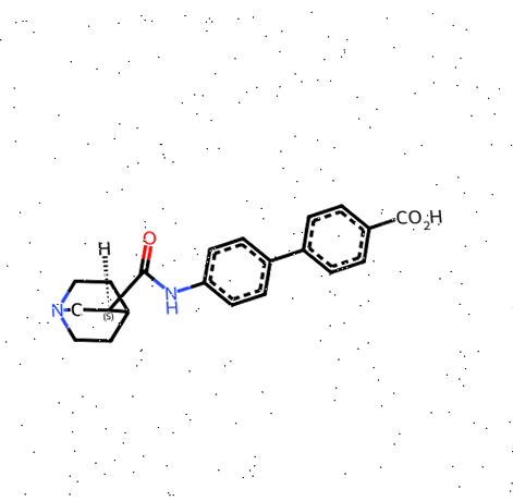 O=C(O)c1ccc(-c2ccc(NC(=O)[C@@H]3CN4CCC3CC4)cc2)cc1